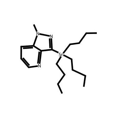 CCC[CH2][Sn]([CH2]CCC)([CH2]CCC)[c]1nn(C)c2cccnc12